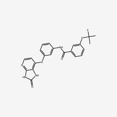 CC(F)(F)Oc1cccc(C(=O)Nc2cccc(Oc3ccnc4[nH]c(=O)[nH]c34)c2)c1